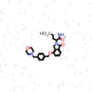 NC(=O)C(CCC(=O)O)N1Cc2c(OCc3ccc(CN4CCOCC4)cc3)cccc2C1=O